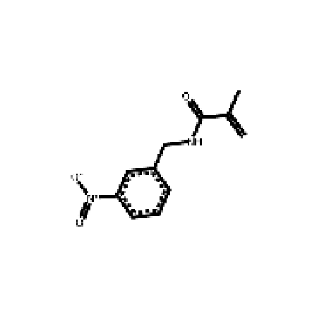 C=C(C)C(=O)NCc1cccc([N+](=O)[O-])c1